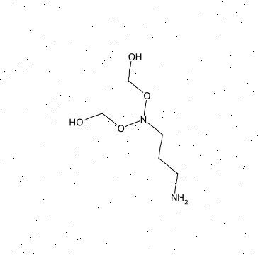 NCCCN(OCO)OCO